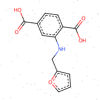 O=C(O)c1ccc(C(=O)O)c(NCc2ccco2)c1